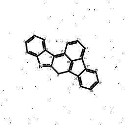 c1ccc2c(c1)N=C1CC3=c4c(cccc4=C12)-c1ccccc13